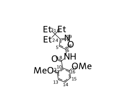 CCC(CC)(CC)c1cc(NC(=O)c2c(OC)cccc2OC)on1